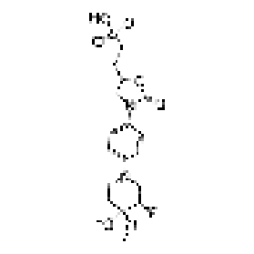 COC1(OC)CCN(c2ccc(N3CC(CCS(=O)(=O)O)OC3=O)cc2)C[C@H]1F